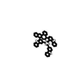 c1ccc2c(c1)-c1cc3ccccc3cc1CCC2c1ccc2oc3ccccc3c2c1-c1nc(-c2ccc3oc4ccccc4c3c2)nc(-c2ccc3sc4ccccc4c3c2)n1